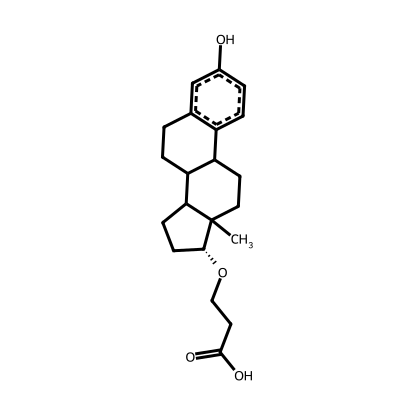 CC12CCC3c4ccc(O)cc4CCC3C1CC[C@H]2OCCC(=O)O